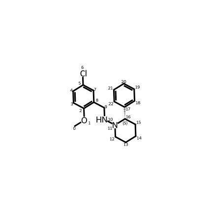 COc1ccc(Cl)cc1CNN1CCCC[C@H]1c1ccccc1